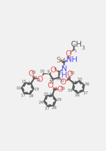 CCONC(=S)N[C@@H]1O[C@H](COC(=O)c2ccccc2)[C@@H](OC(=O)c2ccccc2)[C@H]1OC(=O)c1ccccc1